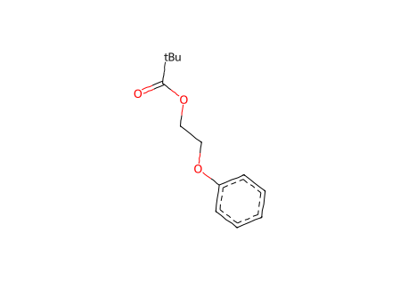 CC(C)(C)C(=O)OCCOc1ccccc1